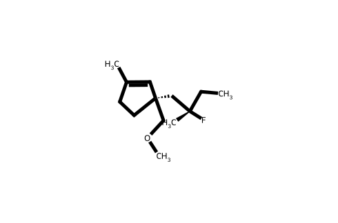 CC[C@](C)(F)C[C@@]1(COC)C=C(C)CC1